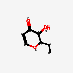 CCC1OC=CC(=O)C1O